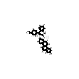 Clc1ccc(-c2cc(NC3CCCc4c3ccc3c4ccc4ccccc43)nc3ccccc23)cc1